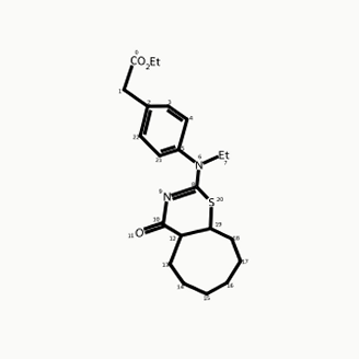 CCOC(=O)Cc1ccc(N(CC)C2=NC(=O)C3CCCCCCC3S2)cc1